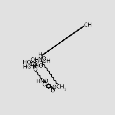 C#CC#CC#CC#CC#CC#CC#CC#CC#CC#CC#CC#CCC(=O)N[C@@H](CO[C@H]1OC(COCCCCCCNC(=O)Oc2ccc([N+](=O)[O-])cc2)[C@H](O)[C@H](O)C1O)[C@H](O)[C@H](O)CCCCCCCCCCCCCC